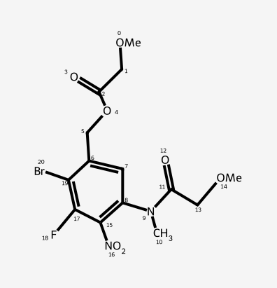 COCC(=O)OCc1cc(N(C)C(=O)COC)c([N+](=O)[O-])c(F)c1Br